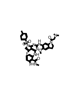 CNC(=O)c1c(F)cccc1Nc1nc(Nc2cc3c(cc2OC)CCN3C(=O)CN(C)C)nc2c1c(F)cn2S(=O)(=O)c1ccc(C)cc1